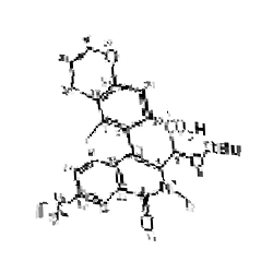 Cc1c(-c2c(C(OC(C)(C)C)C(=O)O)n(C)c(=O)c3cc(C(F)(F)F)ccc23)ccc2c1CCCO2